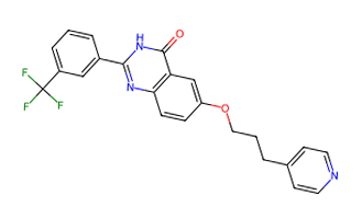 O=c1[nH]c(-c2cccc(C(F)(F)F)c2)nc2ccc(OCCCc3ccncc3)cc12